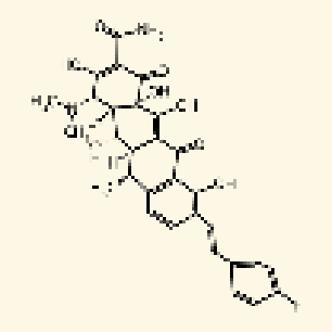 C[C@@H]1c2ccc(/C=C/c3ccc(F)cc3)c(O)c2C(=O)C2=C(O)[C@]3(O)C(=O)C(C(N)=O)=C(O)[C@@H](N(C)C)[C@H]3[C@@H](O)[C@@H]21